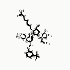 CC[Si](CC)(CC)O[C@H](/C=C/[C@@H]1[C@@H](CC=CCCCC(=O)O)[C@@H](O)C[C@H]1O[Si](CC)(CC)CC)COc1cccc(C(F)(F)F)c1